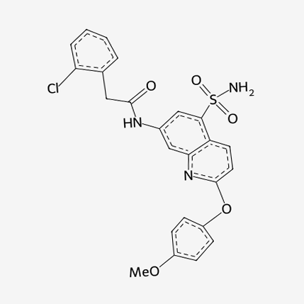 COc1ccc(Oc2ccc3c(S(N)(=O)=O)cc(NC(=O)Cc4ccccc4Cl)cc3n2)cc1